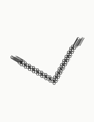 O=S(=O)([O-])[O-].O=S(=O)([O-])[O-].O=S(=O)([O-])[O-].O=S(=O)([O-])[O-].O=S(=O)([O-])[O-].O=S(=O)([O-])[O-].O=S(=O)([O-])[O-].O=S(=O)([O-])[O-].O=S(=O)([O-])[O-].O=S(=O)([O-])[O-].O=S(=O)([O-])[O-].O=S(=O)([O-])[O-].O=S(=O)([O-])[O-].O=S(=O)([O-])[O-].O=S(=O)([O-])[O-].O=S(=O)([O-])[O-].O=S(=O)([O-])[O-].[Cu+2].[Cu+2].[Cu+2].[Cu+2].[Cu+2].[Cu+2].[Cu+2].[Cu+2].[Cu+2].[Cu+2].[Cu+2].[Cu+2].[Cu+2].[Cu+2]